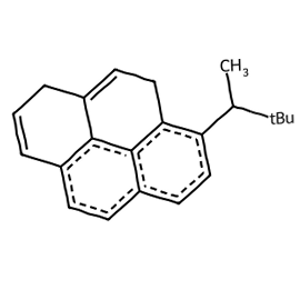 CC(c1ccc2ccc3c4c2c1CC=C4CC=C3)C(C)(C)C